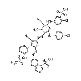 Cc1c(C#N)c(Nc2ccc(Cl)c(S(=O)(=O)O)c2)nc(Nc2ccc(Cl)cc2)c1N=Nc1sc(N=Nc2ccc3cccc(S(=O)(=O)O)c3c2)c(-c2cccc(NS(C)(=O)=O)c2)c1C#N